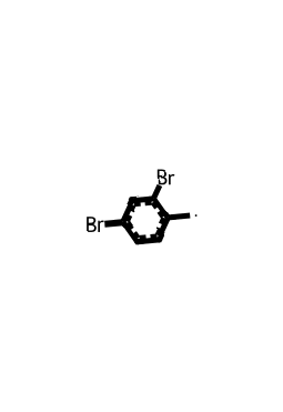 [CH2]c1ccc(Br)cc1Br